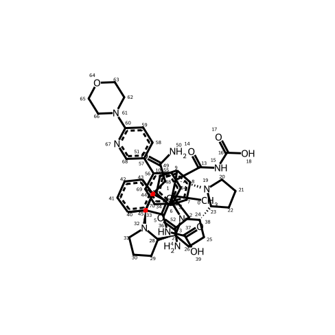 CC1(CC(N)=O)c2ccc(cc2)[C@]1(C(=O)NC(=O)O)N1CCCC1[C@@H]1CC[C@@H](C2CCCN2[C@@]2(C(=O)NC(=O)O)c3ccc(cc3)C2(C)CC(N)=O)N1c1ccc(-c2ccc(N3CCOCC3)nc2)cc1